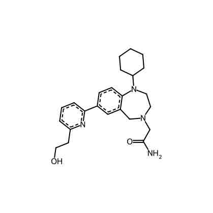 NC(=O)CN1CCN(C2CCCCC2)c2ccc(-c3cccc(CCO)n3)cc2C1